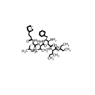 CCC(CC)NC(=O)[C@@H](NC(=O)C[C@H](N)[C@H](Cc1ccccc1)NC(=O)[C@@H](NC(=O)[C@H](CC(C)C)NC(=O)CCc1ccccc1)C(C)C)[C@@H](C)CC